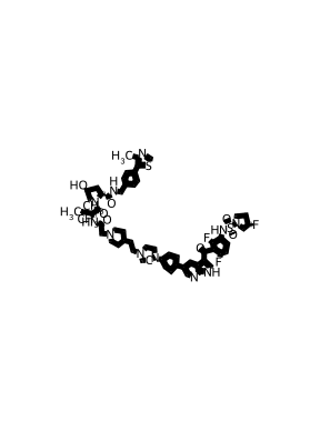 Cc1ncsc1-c1ccc(CNC(=O)[C@@H]2C[C@@H](O)CN2C(=O)[C@@H](NC(=O)CN2CCC(CCN3CCN(c4ccc(-c5cnc6[nH]cc(C(=O)c7c(F)ccc(NS(=O)(=O)N8CC[C@@H](F)C8)c7F)c6c5)cc4)CC3)CC2)C(C)(C)C)cc1